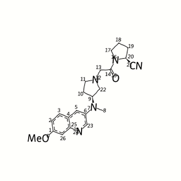 COc1ccc2cc(N(C)[C@H]3CCN(CC(=O)N4CCC[C@H]4C#N)C3)cnc2c1